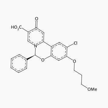 COCCCOc1cc2c(cc1Cl)-c1cc(=O)c(C(=O)O)cn1[C@H](c1ccccc1)O2